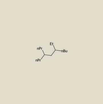 CCCCC(CC)CC(CCC)CCC